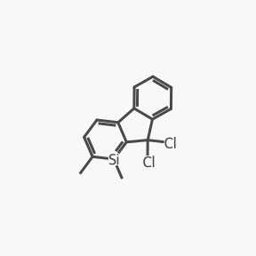 Cc1ccc2c([si]1C)C(Cl)(Cl)c1ccccc1-2